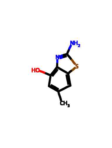 Cc1cc(O)c2nc(N)sc2c1